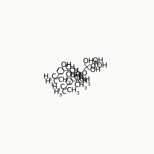 CC(C)(C)c1ccc(O)c(C(C)(C)C)c1.CC(C)(C)c1ccc(O)c(C(C)(C)C)c1.OCC(CO)(COP(O)O)COP(O)O